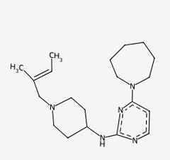 CC=C(C)CN1CCC(Nc2nccc(N3CCCCCC3)n2)CC1